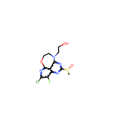 C[S+]([O-])c1nc2c3c(nc(Cl)c(F)c3n1)OCCN2CCO